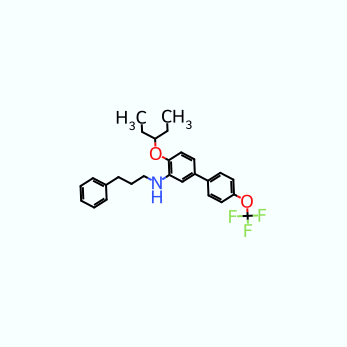 CCC(CC)Oc1ccc(-c2ccc(OC(F)(F)F)cc2)cc1NCCCc1ccccc1